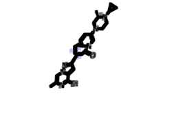 CCc1nc(C)cn2nc(C3=C\C(=O)N4C=C(N5CCN(C6CC6)[C@H](C)C5)C=C\C4=C/C=C/3)cc12